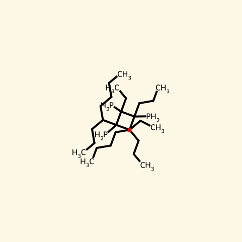 CCCCC(CCC)C(P)(CCC)C(P)(CC)C(P)(CCC)C(CCC)CCCC